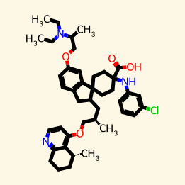 CCN(CC)C(C)COc1ccc2c(c1)C1(CCC(Nc3cccc(Cl)c3)(C(=O)O)CC1)C(C[C@@H](C)COc1ccnc3c1[C@H](C)CCC3)C2